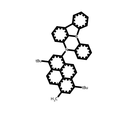 Cc1cc(C(C)(C)C)c2ccc3c(N4c5ccccc5B5c6ccccc6-c6cccc4c65)cc(C(C)(C)C)c4ccc1c2c34